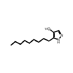 CCCCCCCCCc1[nH]ncc1O